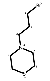 BrCCCN1CCSCC1